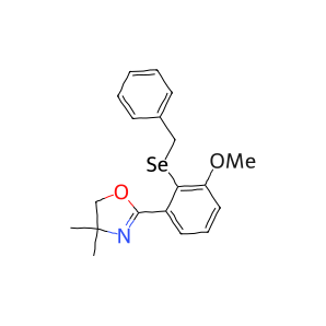 COc1cccc(C2=NC(C)(C)CO2)c1[Se]Cc1ccccc1